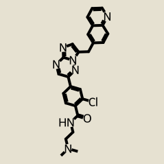 CN(C)CCNC(=O)c1ccc(-c2cnc3ncc(Cc4ccc5ncccc5c4)n3n2)cc1Cl